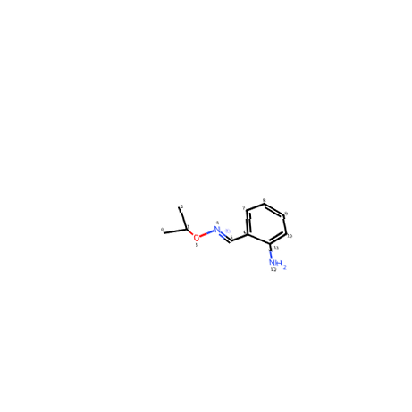 CC(C)O/N=C/c1ccccc1N